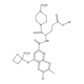 CCOC(=O)N1CCN(C(=O)C(CCC(=O)OC(C)C)NC(=O)c2cc(OC3(C(=O)O)CCC3)c3cc(Cl)c(C)cc3n2)CC1